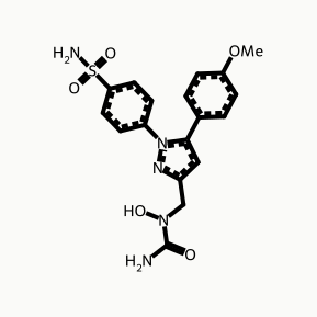 COc1ccc(-c2cc(CN(O)C(N)=O)nn2-c2ccc(S(N)(=O)=O)cc2)cc1